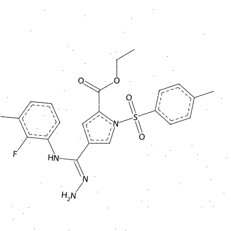 CCOC(=O)c1cc(/C(=N/N)Nc2cccc(F)c2F)cn1S(=O)(=O)c1ccc(C)cc1